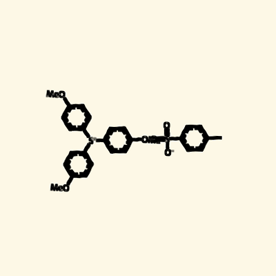 COc1ccc([S+](c2ccc(OC)cc2)c2ccc(OC)cc2)cc1.Cc1ccc(S(=O)(=O)[O-])cc1